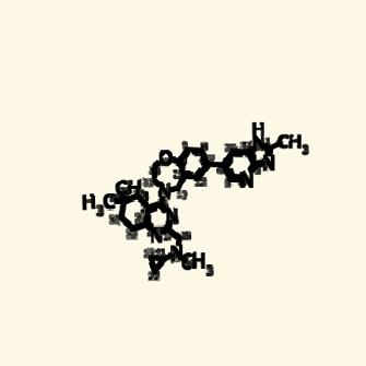 Cc1nc2ncc(-c3ccc4c(c3)CN(c3nc(CN(C)C5CC5)nc5c3CC(C)(C)CC5)CCO4)cc2[nH]1